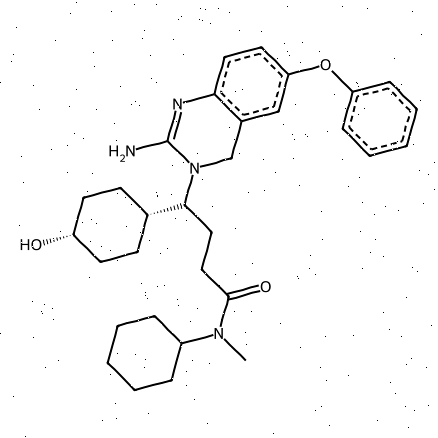 CN(C(=O)CCC([C@H]1CC[C@@H](O)CC1)N1Cc2cc(Oc3ccccc3)ccc2N=C1N)C1CCCCC1